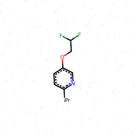 CC(C)c1ccc(OCC(F)F)cn1